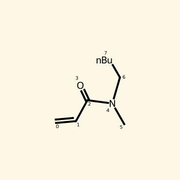 C=CC(=O)N(C)CCCCC